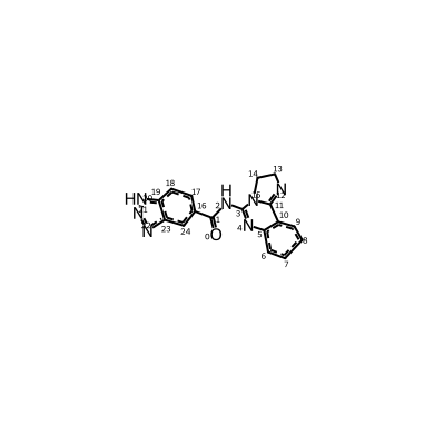 O=C(NC1=Nc2ccccc2C2=NCCN12)c1ccc2[nH]nnc2c1